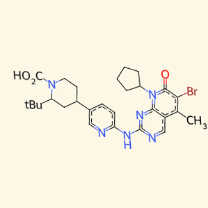 Cc1c(Br)c(=O)n(C2CCCC2)c2nc(Nc3ccc(C4CCN(C(=O)O)C(C(C)(C)C)C4)cn3)ncc12